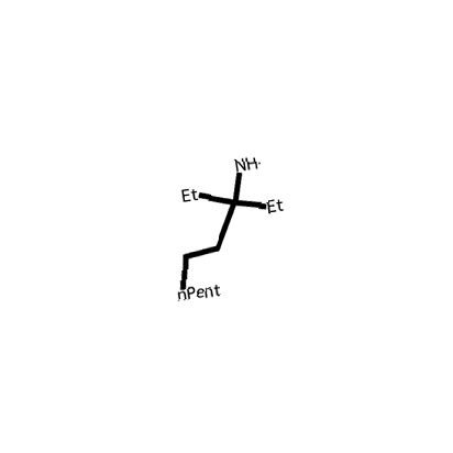 CCCCCCCC([NH])(CC)CC